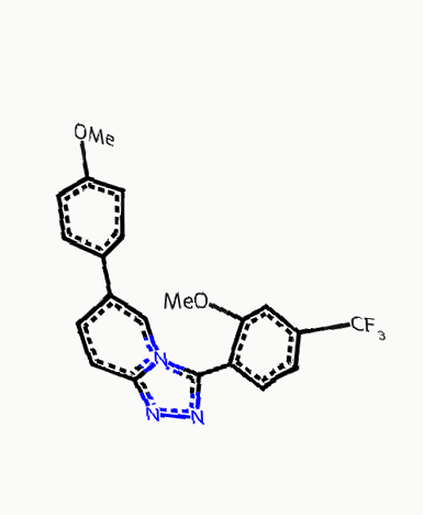 COc1ccc(-c2ccc3nnc(-c4ccc(C(F)(F)F)cc4OC)n3c2)cc1